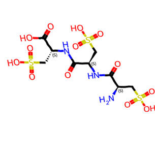 N[C@H](CS(=O)(=O)O)C(=O)N[C@H](CS(=O)(=O)O)C(=O)N[C@H](CS(=O)(=O)O)C(=O)O